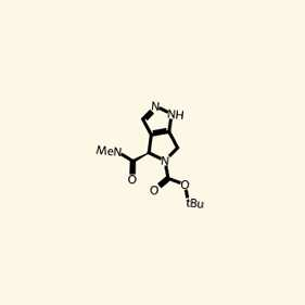 CNC(=O)[C@H]1c2cn[nH]c2CN1C(=O)OC(C)(C)C